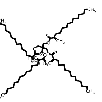 C=C(CCCCCCCCCCCC)C(=S)OCC(COC(=S)C(=C)CCCCCCCCCCCC)(COC(=S)C(=C)CCCCCCCCCCCC)COC(=S)C(=C)CCCCCCCCCCCC